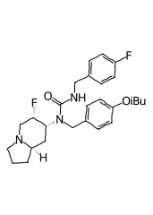 CC(C)COc1ccc(CN(C(=O)NCc2ccc(F)cc2)[C@@H]2C[C@H]3CCCN3C[C@@H]2F)cc1